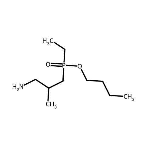 CCCCOP(=O)(CC)CC(C)CN